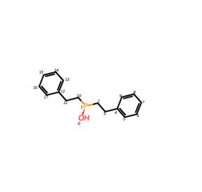 OP(CCc1ccccc1)CCc1ccccc1